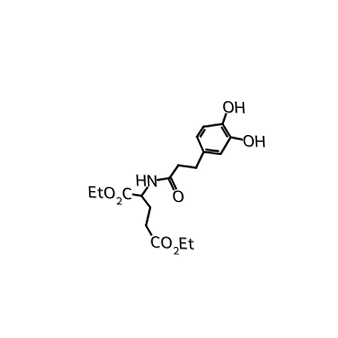 CCOC(=O)CCC(NC(=O)CCc1ccc(O)c(O)c1)C(=O)OCC